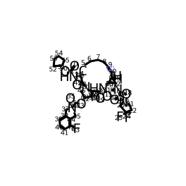 O=C(N[C@H]1CCCCC/C=C\[C@@H]2C[C@@]2(C(=O)NS(=O)(=O)N2CCC(F)(F)C2)NC(=O)[C@@H]2C[C@@H](OC(=O)N3Cc4cccc(F)c4C3)CN2C1=O)OC1CCCC1